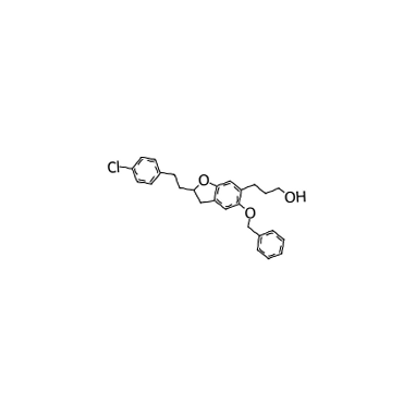 OCCCc1cc2c(cc1OCc1ccccc1)CC(CCc1ccc(Cl)cc1)O2